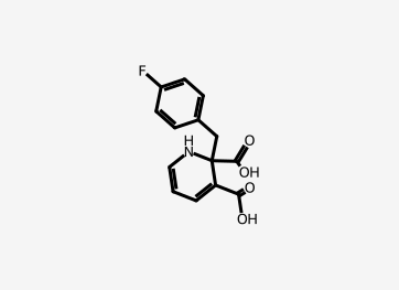 O=C(O)C1=CC=CNC1(Cc1ccc(F)cc1)C(=O)O